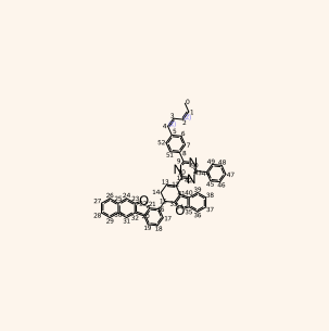 C/C=C\C=C/c1ccc(-c2nc(C3=CCC(c4cccc5c4oc4cc6ccccc6cc45)c4oc5ccccc5c43)nc(-c3ccccc3)n2)cc1